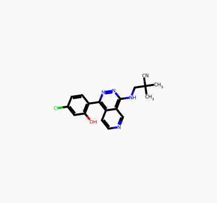 CC(C)(C#N)CNc1nnc(-c2ccc(Cl)cc2O)c2ccncc12